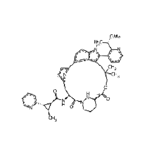 CCn1c(-c2cccnc2[C@H](C)OC)c2c3cc(ccc31)-c1csc(n1)C[C@H](NC(=O)[C@H]1[C@@H](C)[C@@H]1c1ccccn1)C(=O)N1CCC[C@H](N1)C(=O)OCC(C)(C)C2